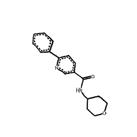 O=C(NC1CCOCC1)c1ccc(-c2ccccc2)nc1